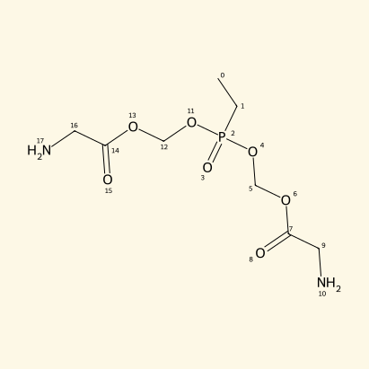 CCP(=O)(OCOC(=O)CN)OCOC(=O)CN